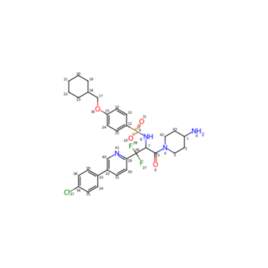 NC1CCN(C(=O)C(NS(=O)(=O)c2ccc(OCC3CCCCC3)cc2)C(F)(F)c2ccc(-c3ccc(Cl)cc3)cn2)CC1